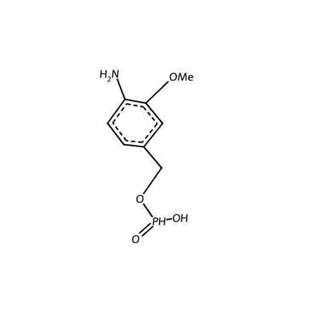 COc1cc(CO[PH](=O)O)ccc1N